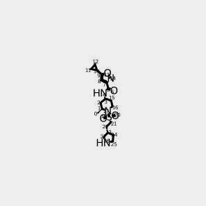 C[C@H]1C[C@@H](NC(=O)c2cc(C3CC3)on2)CCN1S(=O)(=O)CC[C@H]1CCNC1